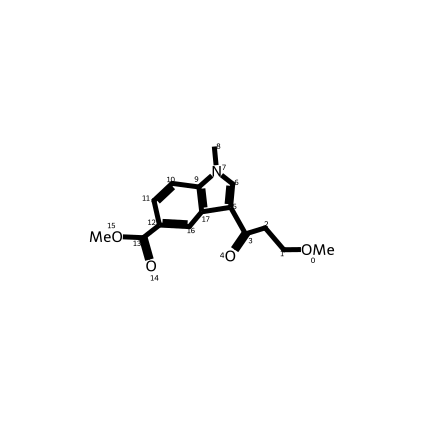 COCCC(=O)c1cn(C)c2ccc(C(=O)OC)cc12